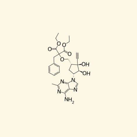 C#C[C@@]1(O)[C@@H](COC(Cc2ccccc2)(C(=O)OCC)C(=O)OCC)C[C@@H](n2cnc3c(N)nc(C)nc32)[C@@H]1O